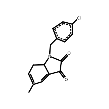 CC1=CCC2C(=C1)C(=O)C(=O)N2Cc1ccc(Cl)cc1